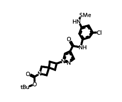 CSNc1cc(Cl)cc(NC(=O)c2cnn(C3CC4(C3)CN(C(=O)OC(C)(C)C)C4)c2)c1